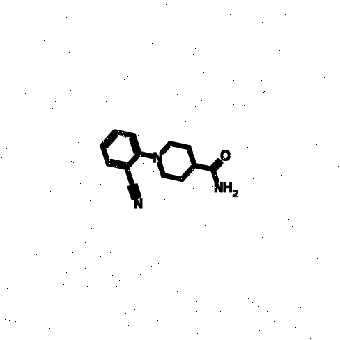 N#Cc1ccccc1N1CCC(C(N)=O)CC1